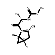 CC(C)(C)OC(=O)N[C@H](C(=O)N1[C@H](C#N)C[C@@H]2C[C@@H]21)C(C)(C)C